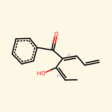 C=C/C=C(C(=O)c1ccccc1)\C(O)=C/C